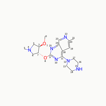 CO[C@@H]1CN(C)C[C@H]1Oc1nc(N2CCNCC2)c2cc(C)ncc2n1